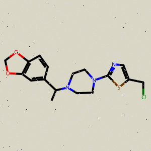 CC(c1ccc2c(c1)OCO2)N1CCN(c2ncc(CCl)s2)CC1